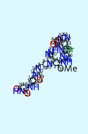 COc1cc(N2CCC(CN3CCN4c5ccc(NC6CCC(=O)NC6=O)cc5OCC4C3)CC2)c(-c2cnn(C)c2)cc1Nc1ncc(Br)c(Nc2ccc3nccnc3c2N(C)S(C)(=O)=O)n1